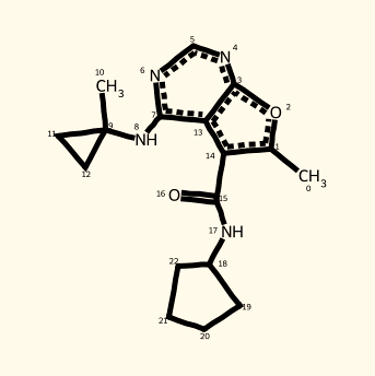 Cc1oc2ncnc(NC3(C)CC3)c2c1C(=O)NC1CCCC1